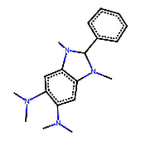 CN(C)c1cc2c(cc1N(C)C)N(C)C(c1ccccc1)N2C